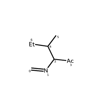 C=NC(C(C)=O)C(C)CC